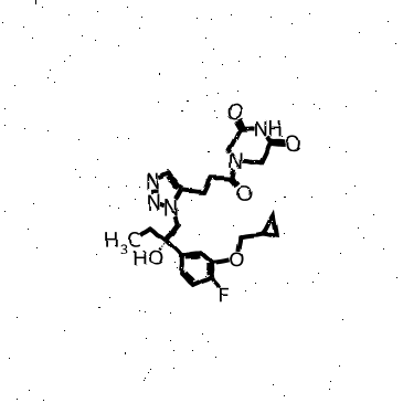 CC[C@@](O)(Cn1nncc1CCC(=O)N1CC(=O)NC(=O)C1)c1ccc(F)c(OCC2CC2)c1